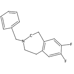 Fc1cc2c(cc1F)CCN(Cc1ccccc1)CC2